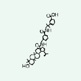 C=C(C)C1CCC2(C(=O)NCc3cccc(C(=O)NCC(C)(C)c4cccc(C(=O)O)c4)c3)CCC3C(CCC4C3(C)CCC3C(C)(C)C(O)CCC34C)C12